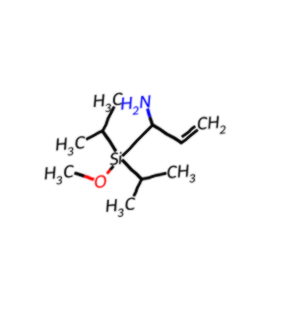 C=CC(N)[Si](OC)(C(C)C)C(C)C